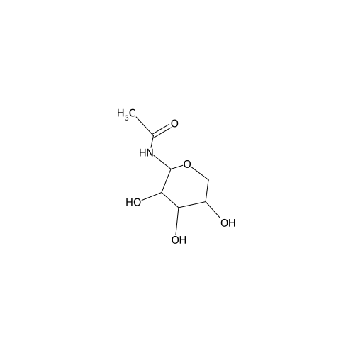 CC(=O)NC1OCC(O)C(O)C1O